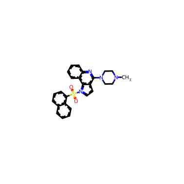 CN1CCN(c2nc3ccccc3c3c2ccn3S(=O)(=O)c2cccc3ccccc23)CC1